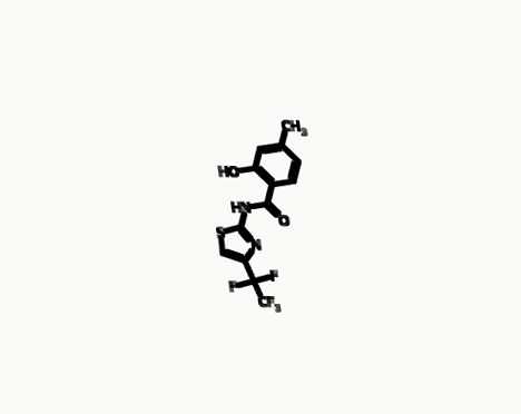 Cc1ccc(C(=O)Nc2nc(C(F)(F)C(F)(F)F)cs2)c(O)c1